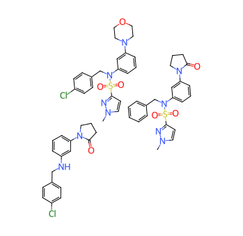 Cn1ccc(S(=O)(=O)N(Cc2ccc(Cl)cc2)c2cccc(N3CCOCC3)c2)n1.Cn1ccc(S(=O)(=O)N(Cc2ccccc2)c2cccc(N3CCCC3=O)c2)n1.O=C1CCCN1c1cccc(NCc2ccc(Cl)cc2)c1